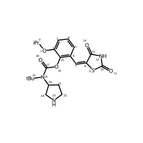 CC(C)Oc1cccc(C=C2SC(=O)NC2=O)c1OC(=O)N(C1CCNC1)C(C)(C)C